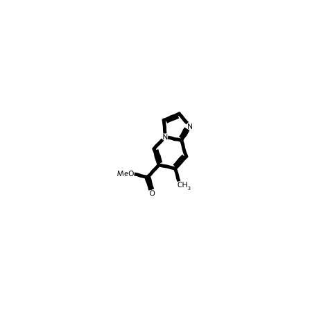 COC(=O)c1cn2ccnc2cc1C